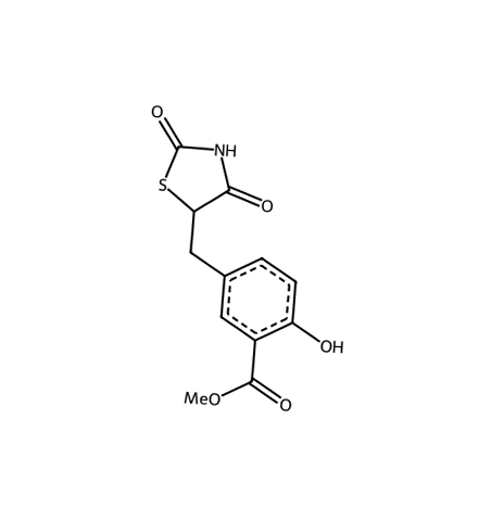 COC(=O)c1cc(CC2SC(=O)NC2=O)ccc1O